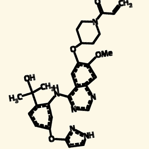 C=CC(=O)N1CCC(Oc2cc3c(Nc4cc(Oc5cc[nH]n5)ccc4C(C)(C)O)ncnc3cc2OC)CC1